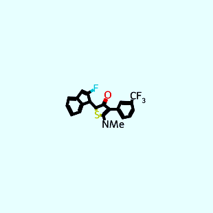 CNC1=C(c2cccc(C(F)(F)F)c2)C(=O)C(C2C(F)=Cc3ccccc32)S1